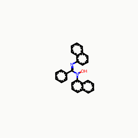 ON(C(=Nc1cccc2ccccc12)c1ccccc1)c1cccc2ccccc12